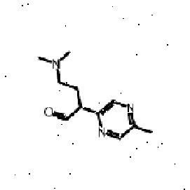 Cc1cnc(C(C=O)CCN(C)C)cn1